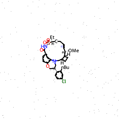 CCCCc1cc(Cl)ccc1[C@@H]1COc2ccc3cc2N(C1)C[C@@H]1CC[C@H]1[C@@H](OC)/C=C/CC[C@@H](CC)S(=O)(=O)NC3=O